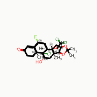 CC1(C)O[C@@H]2C[C@H]3[C@@H]4C[C@H](F)C5=CC(=O)CC[C@]5(C)[C@@]4(Cl)[C@@H](O)C[C@]3(C)[C@]2(C(=O)C(Cl)Cl)O1